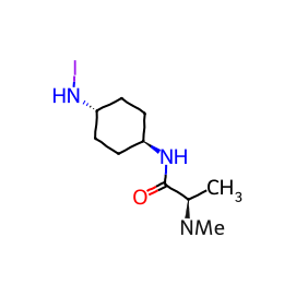 CN[C@H](C)C(=O)N[C@H]1CC[C@H](NI)CC1